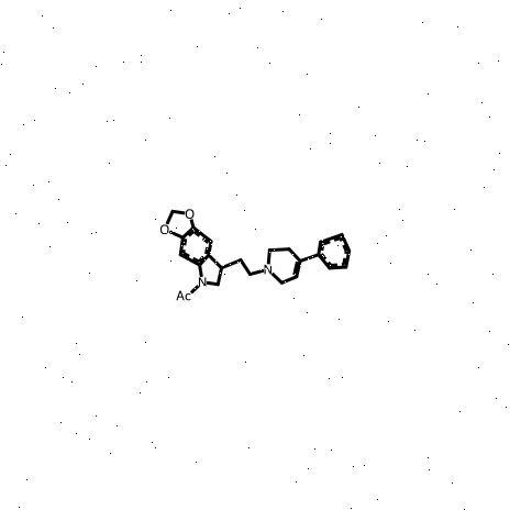 CC(=O)N1CC(CCN2CC=C(c3ccccc3)CC2)c2cc3c(cc21)OCO3